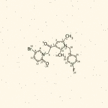 Cc1cc(C(=O)Cn2cc(Br)ccc2=O)c(C)n1Cc1ccc(F)cc1